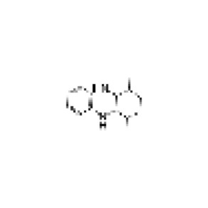 CC1CCC(C)C(Nc2ccccc2)C1[NH]